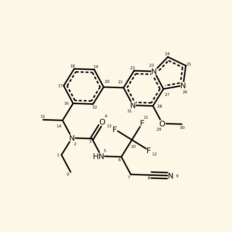 CCN(C(=O)NC(CC#N)C(F)(F)F)C(C)c1cccc(-c2cn3ccnc3c(OC)n2)c1